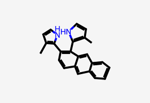 Cc1cc[nH]c1-c1ccc2cc3ccccc3cc2c1-c1[nH]ccc1C